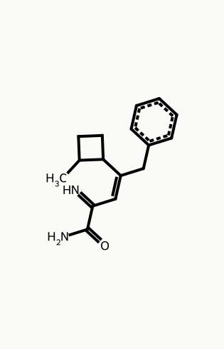 CC1CCC1/C(=C\C(=N)C(N)=O)Cc1ccccc1